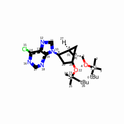 CC(C)(C)[Si](C)(C)OC[C@@]12C[C@@H]1C(n1cnc3c(Cl)ncnc31)CC2O[Si](C)(C)C(C)(C)C